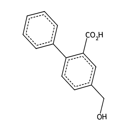 O=C(O)c1cc(CO)ccc1-c1ccccc1